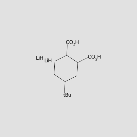 CC(C)(C)C1CCC(C(=O)O)C(C(=O)O)C1.[LiH].[LiH]